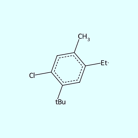 C[CH]c1cc(C(C)(C)C)c(Cl)cc1C